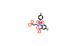 COC(=O)CCCN(c1ccc(F)cc1C(=O)OC)S(=O)(=O)c1ccc(C)cc1